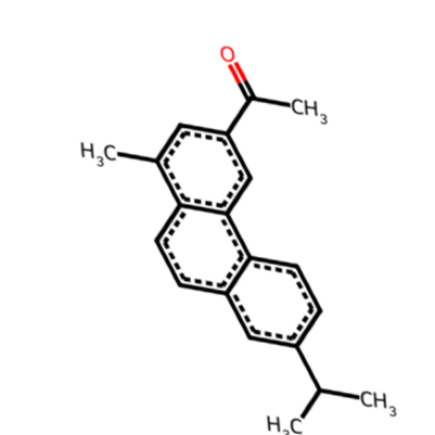 CC(=O)c1cc(C)c2ccc3cc(C(C)C)ccc3c2c1